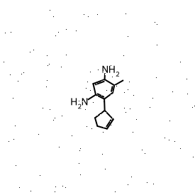 Cc1cc(C2C=CCC2)c(N)cc1N